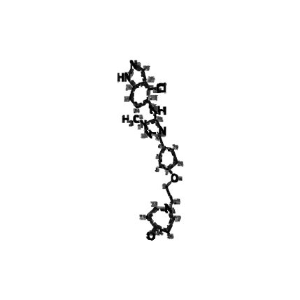 Cn1nc(-c2ccc(OCCn3ccc(=O)cc3)cc2)nc1Nc1ccc2[nH]ncc2c1Cl